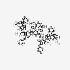 CC(C)C[C@H](NC(=O)[C@H](C)N(CCNc1ccc(NCCN(C(=O)OCc2ccccc2)[C@@H](C)C(=O)N[C@@H](CC(C)C)C(=O)Nc2ccccc2)c2c1C(=O)c1c(O)ccc(O)c1C2=O)C(=O)OCc1ccccc1)C(=O)Nc1ccccc1